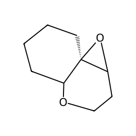 C1CC[C@]23OC2CCOC3C1